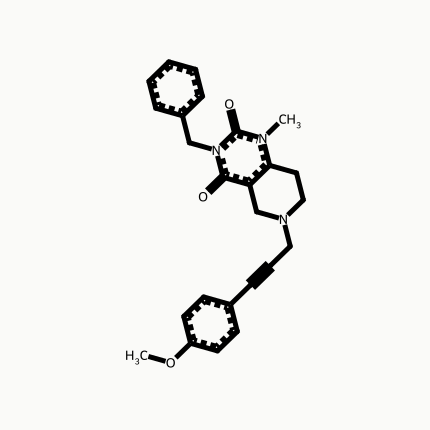 COc1ccc(C#CCN2CCc3c(c(=O)n(Cc4ccccc4)c(=O)n3C)C2)cc1